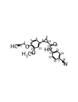 C#CCOc1ccc(C2CC2C(=O)Nc2ccc(C#N)cc2)cc1OC